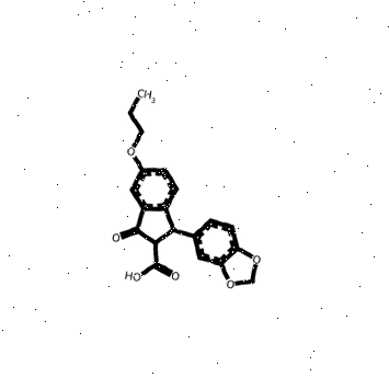 CCCOc1ccc2c(c1)C(=O)C(C(=O)O)C2c1ccc2c(c1)OCO2